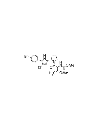 COC(=O)N[C@H](C(=O)N1CCC[C@H]1c1cc(Cl)c(-c2ccc(Br)cc2)[nH]1)[C@@H](C)OC